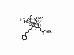 C=C[C@]1(C(=O)O)O[C@]2(OC(C)=O)O[C@](C(=O)O)([C@]1(O)C(=O)O)[C@](CCCCCCc1ccccc1)(OC(=O)C=C[C@@H](C)C[C@@H](C)CC)[C@H]2O